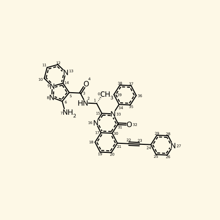 C[C@@H](NC(=O)c1c(N)nn2cccnc12)c1nc2cccc(C#Cc3ccncc3)c2c(=O)n1-c1ccccc1